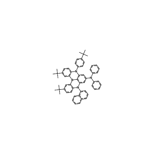 CC(C)(C)c1ccc(N2c3ccc(C(C)(C)C)cc3B3c4cc(C(C)(C)C)ccc4N(c4cccc5ccccc45)c4cc(N(c5ccccc5)c5ccccc5)cc2c43)cc1